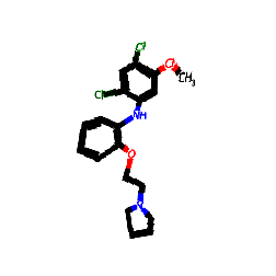 COc1cc(Nc2[c]cccc2OCCN2CCCC2)c(Cl)cc1Cl